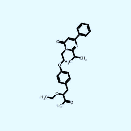 CCOC(Cc1ccc(OCCn2c(C(C)C)nc(-c3ccccc3)cc2=O)cc1)C(=O)O